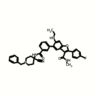 CCNc1cc2oc(-c3ccc(F)cc3)c(C(=O)NC)c2cc1-c1cccc(C(=O)NC2(C#N)CCN(Cc3ccccc3)CC2)c1